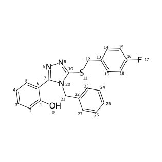 Oc1ccccc1-c1nnc(SCc2ccc(F)cc2)n1Cc1ccccc1